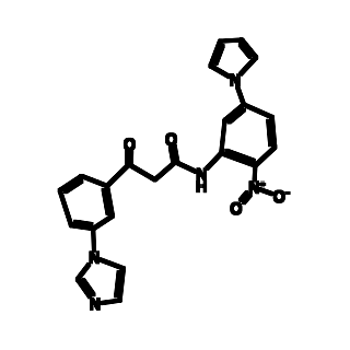 O=C(CC(=O)c1cccc(-n2ccnc2)c1)Nc1cc(-n2cccc2)ccc1[N+](=O)[O-]